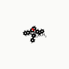 CC1(C)c2ccccc2-c2cc(-c3ccccc3)c(N(c3ccc(-c4ccccc4)cc3)c3cncc4c3sc3cc5ccccc5cc34)cc21